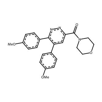 COc1ccc(-c2cc(C(=O)N3CCOCC3)nnc2-c2ccc(OC)cc2)cc1